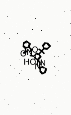 CC(C)(c1ccccc1)c1cc(CN2C(=O)c3ccccc3C2=O)c(O)c(-n2nc3ccccc3n2)c1